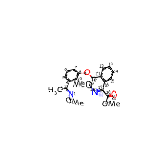 CON=C(C)c1cccc(OCc2ccccc2/C(=N\OC)C(=O)OC)c1